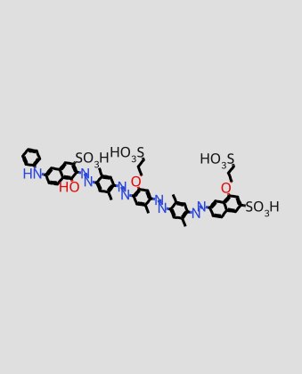 Cc1cc(N=Nc2cc(OCCCS(=O)(=O)O)c(N=Nc3cc(C)c(N=Nc4c(S(=O)(=O)O)cc5cc(Nc6ccccc6)ccc5c4O)cc3C)cc2C)c(C)cc1N=Nc1ccc2cc(S(=O)(=O)O)cc(OCCCS(=O)(=O)O)c2c1